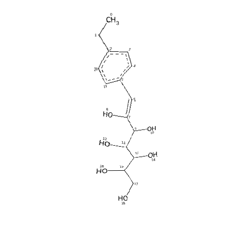 CCc1ccc(C=C(O)C(O)C(O)C(O)C(O)CO)cc1